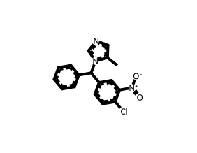 Cc1cncn1C(c1ccccc1)c1ccc(Cl)c([N+](=O)[O-])c1